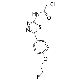 O=C(CCl)Nc1nnc(-c2ccc(OCCF)cc2)s1